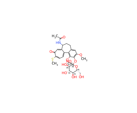 COc1cc2c(c(OC)c1O[C@@]1(O)O[C@H](CO)[C@@H](O)[C@H](O)[C@H]1O)-c1ccc(SC)c(=O)cc1C(NC(C)=O)CC2